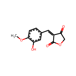 COc1ccc(C=C2C(=O)COC2=O)cc1O